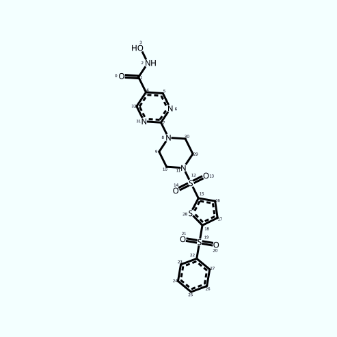 O=C(NO)c1cnc(N2CCN(S(=O)(=O)c3ccc(S(=O)(=O)c4ccccc4)s3)CC2)nc1